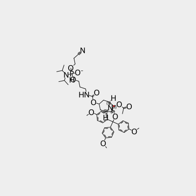 COc1ccc(C(O[C@H]2[C@@H](OC(C)=O)[C@@H]3CC(OC(=O)NCCCO[PH]([O-])(OCCC#N)N(C(C)C)C(C)C)C[C@H]2[N+]3(C)C)(c2ccc(OC)cc2)c2ccc(OC)cc2)cc1